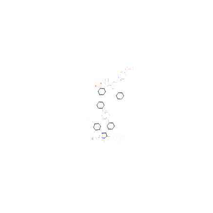 Cc1c(C(=O)O)c(-c2cccc(N3CCN(c4ccc(Sc5ccc(NC(CCN6CCC(O)CC6)CSc6ccccc6)c(S(C)(=O)=O)c5)cc4)CC3)c2)c(-c2ccc(Cl)cc2)n1C(C)C